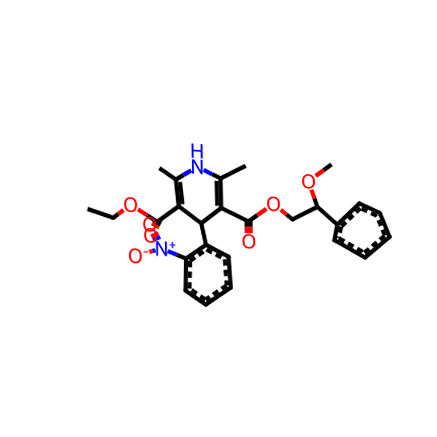 CCOC(=O)C1=C(C)NC(C)=C(C(=O)OCC(OC)c2ccccc2)C1c1ccccc1[N+](=O)[O-]